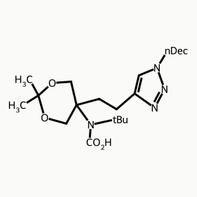 CCCCCCCCCCn1cc(CCC2(N(C(=O)O)C(C)(C)C)COC(C)(C)OC2)nn1